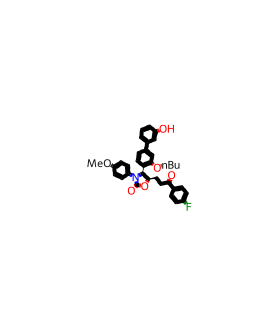 CCCCOc1cc(-c2cccc(O)c2)ccc1[C@@H]1[C@@H](CCC(=O)c2ccc(F)cc2)OC(=O)N1c1ccc(OC)cc1